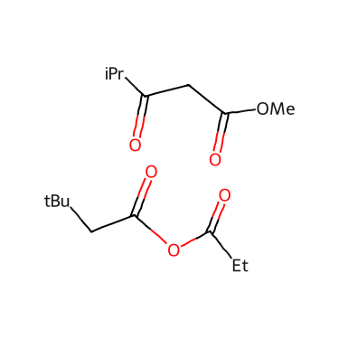 CCC(=O)OC(=O)CC(C)(C)C.COC(=O)CC(=O)C(C)C